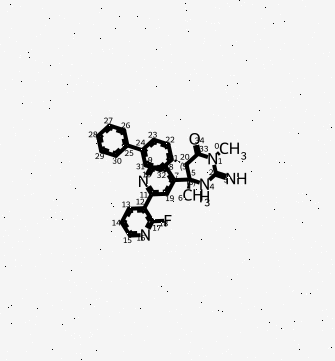 CN1C(=N)N[C@](C)(c2ccnc(-c3cccnc3F)c2)[C@H](c2ccc(-c3ccccc3)cc2)C1=O